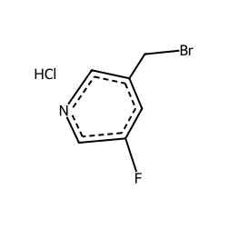 Cl.Fc1cncc(CBr)c1